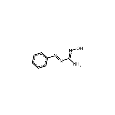 NC(=NO)/N=N/c1ccccc1